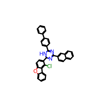 Clc1c(C2N=C(c3ccc4ccccc4c3)N=C(c3ccc(-c4ccccc4)cc3)N2)ccc2oc3ccccc3c12